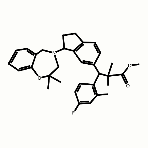 COC(=O)C(C)(C)C(c1ccc2c(c1)C(N1Cc3ccccc3OC(C)(C)C1)CC2)c1ccc(F)cc1C